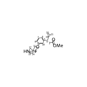 COC(=O)C[C@H](c1cccc(OCC2(F)CCNC2)c1)C1CC1